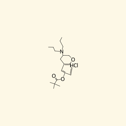 CCCN(CCC)C1COc2ccc(OC(=O)C(C)(C)C)cc2C1.Cl